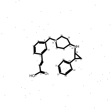 O=C(O)C=Cc1cccc(CN2CCC(NC3CC3c3ccccc3)CC2)c1